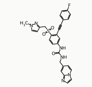 Cn1ccc(CS(=O)(=O)c2ccc(NC(=O)NCc3ccn4ccnc4c3)cc2C#Cc2ccc(F)cc2)n1